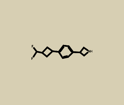 FC(F)C1CC(c2ccc(C3CNC3)cc2)C1